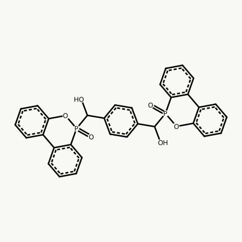 O=P1(C(O)c2ccc(C(O)P3(=O)Oc4ccccc4-c4ccccc43)cc2)Oc2ccccc2-c2ccccc21